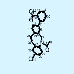 CC(=O)N1Cc2cc(-c3ccccc3C(=O)O)ccc2/C=C\c2cc(Cl)ccc21